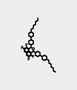 CCCCCCCC1CCC(C2CCC(C(OC(c3cccc(F)c3F)C3CCC(C4CCC(CCCCCCC)CC4)CC3)c3cccc(F)c3F)CC2)CC1